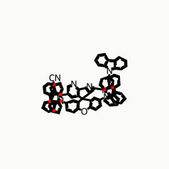 N#Cc1ccc2c(c1)c1ccccc1n2-c1ccc2c(c1)C1(c3cc(-n4c5ccccc5c5cc(-n6c7ccccc7c7ccccc76)ccc54)ccc3O2)c2cc(-n3c4ccccc4c4ccccc43)cnc2-c2ncc(-n3c4ccccc4c4ccccc43)cc21